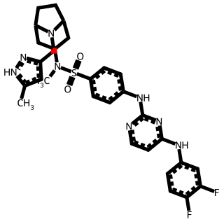 Cc1cc(CN2C3CCC2CC(N(C)S(=O)(=O)c2ccc(Nc4nccc(Nc5ccc(F)c(F)c5)n4)cc2)C3)n[nH]1